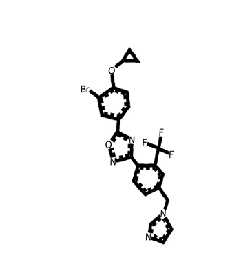 FC(F)(F)c1cc(Cn2ccnc2)ccc1-c1noc(-c2ccc(OC3CC3)c(Br)c2)n1